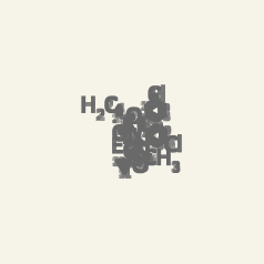 C=CC[C@@H]1O[C@H](c2cccc(Cl)c2)[C@@H](c2ccc(Cl)cc2)N([C@@H](CC)CN(C)S(=O)(=O)C2CC2)C1=O